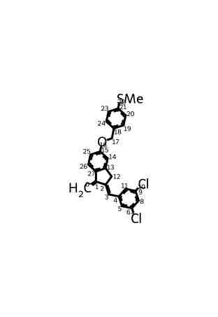 C=C1/C(=C/c2cc(Cl)cc(Cl)c2)Cc2cc(OCc3ccc(SC)cc3)ccc21